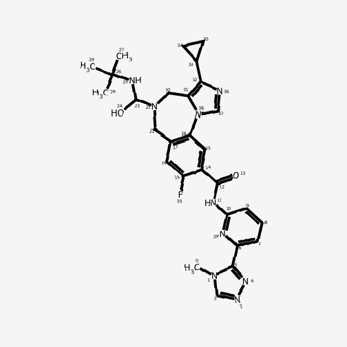 Cn1cnnc1-c1cccc(NC(=O)c2cc3c(cc2F)CN(C(O)NC(C)(C)C)Cc2c(C4CC4)ncn2-3)n1